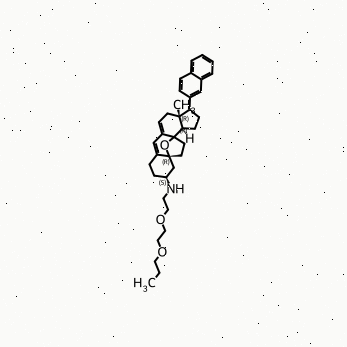 CCCOCCOCCN[C@H]1CCC2=CC3=CC[C@]4(C)C(c5ccc6ccccc6c5)CC[C@H]4C34CC[C@]2(C1)O4